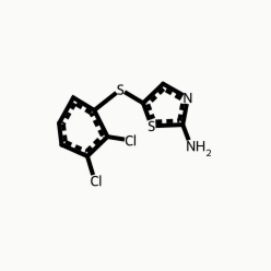 Nc1ncc(Sc2cccc(Cl)c2Cl)s1